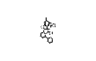 Cc1ccc(C2(CC(=O)O)C(=O)c3cccc(-c4ccccc4)c3C2=O)cc1